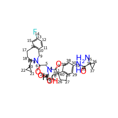 C[C@@]1(C(=O)N(CC(=O)N2Cc3ccc(F)cc3CC[C@@H]2C2CC2)C(=O)O)CCc2cc(NC(=O)C3(N)CC3)ccc21